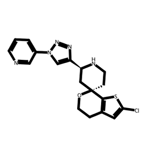 Clc1cc2c(s1)[C@@]1(CCN[C@H](c3cn(-c4cccnc4)nn3)C1)OCC2